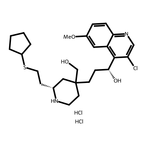 COc1ccc2ncc(Cl)c([C@H](O)CCC3(CO)CCN[C@H](CCSC4CCCC4)C3)c2c1.Cl.Cl